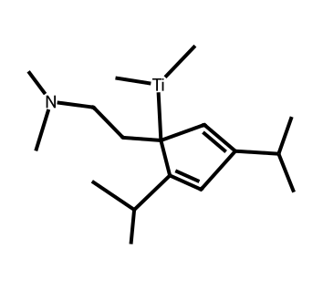 CC(C)C1=C[C](CCN(C)C)([Ti]([CH3])[CH3])C(C(C)C)=C1